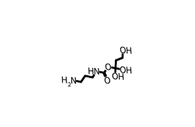 NCCCNC(=O)OC(O)(O)CCO